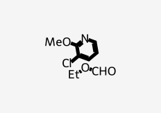 CCOC=O.COc1ncccc1Cl